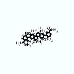 Cc1c(C(N)=O)ccc([N+](=O)[O-])c1-c1cc2c(cc1O)C1(CC2(C)C)CC(C)(C)c2cc(-c3c([N+](=O)[O-])ccc(C(N)=O)c3C)c(O)cc21